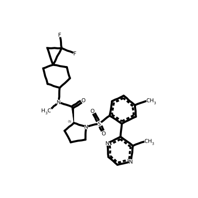 Cc1ccc(S(=O)(=O)N2CCC[C@H]2C(=O)N(C)C2CCC3(CC2)CC3(F)F)c(-c2nccnc2C)c1